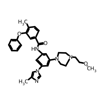 COCCN1CCN(c2cc(NC(=O)c3ccc(C)c(Oc4ccccc4)c3)cc(-n3cnc(C)c3)c2)CC1